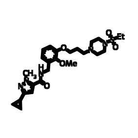 CCS(=O)(=O)N1CCN(CCCOc2cccc(CNC(=O)c3cc(C4CC4)nn3C)c2OC)CC1